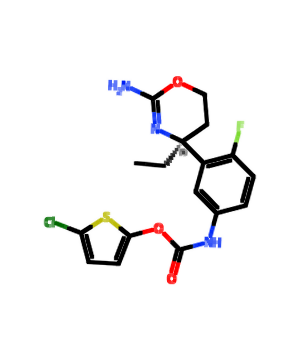 CC[C@@]1(c2cc(NC(=O)Oc3ccc(Cl)s3)ccc2F)CCOC(N)=N1